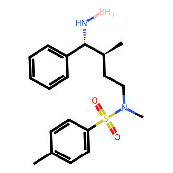 BN[C@@H](c1ccccc1)[C@@H](C)CCN(C)S(=O)(=O)c1ccc(C)cc1